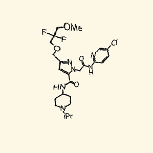 COCC(F)(F)COCc1cc(C(=O)NC2CCN(C(C)C)CC2)n(CC(=O)Nc2ccc(Cl)cn2)n1